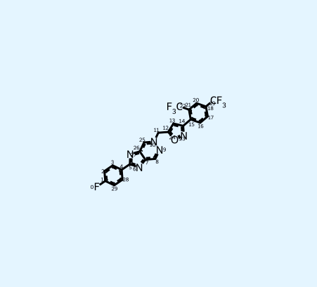 Fc1ccc(-c2nc3cnn(Cc4cc(-c5ccc(C(F)(F)F)cc5C(F)(F)F)no4)cc-3n2)cc1